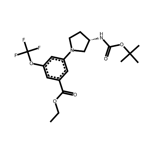 CCOC(=O)c1cc(OC(F)(F)F)cc(N2CC[C@H](NC(=O)OC(C)(C)C)C2)c1